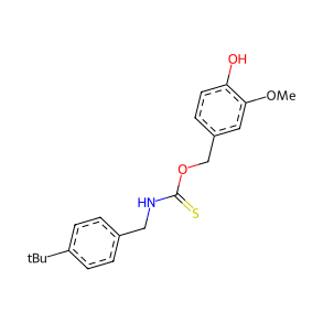 COc1cc(COC(=S)NCc2ccc(C(C)(C)C)cc2)ccc1O